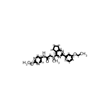 CCOc1ccnc(-c2nc3c(c(N(C)CC(=O)Nc4cnc(OC)nc4)n2)CCC3)c1